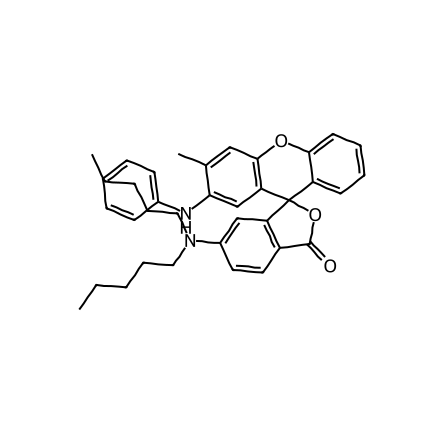 CCCCCN(CCCCC)c1ccc2c(c1)C1(OC2=O)c2ccccc2Oc2cc(C)c(Nc3ccccc3)cc21